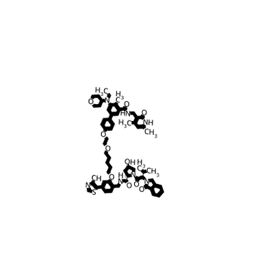 CCN(c1cc(-c2ccc(OCCOCCCCCOc3cc(-c4scnc4C)ccc3CNC(=O)[C@@H]3C[C@@H](O)CN3C(=O)[C@H](C(C)C)N3Cc4ccccc4C3=O)cc2)cc(C(=O)NCc2c(C)cc(C)[nH]c2=O)c1C)C1CCOCC1